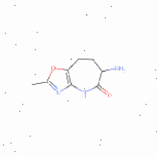 Cc1nc2c(o1)CCC(N)C(=O)N2